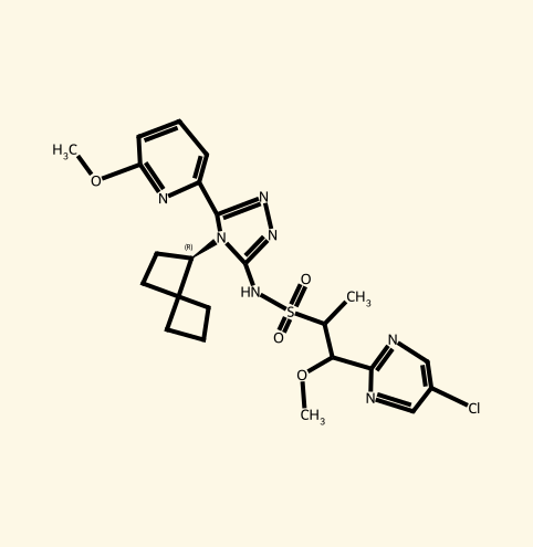 COc1cccc(-c2nnc(NS(=O)(=O)C(C)C(OC)c3ncc(Cl)cn3)n2[C@@H]2CCC23CCC3)n1